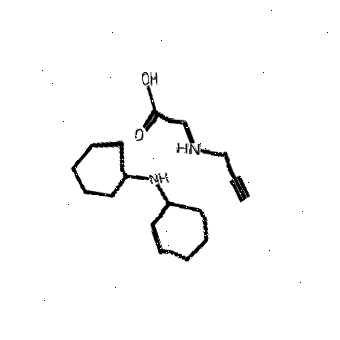 C#CCNCC(=O)O.C1CCC(NC2CCCCC2)CC1